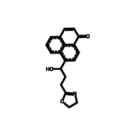 O=C1C=Cc2cccc3c(C(O)CCC4=NCCO4)ccc1c23